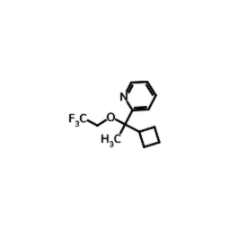 CC(OCC(F)(F)F)(c1ccccn1)C1CCC1